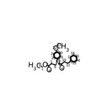 CCOC(=O)CCN(C(=O)CCc1ccccc1)c1ccc(OC)cc1